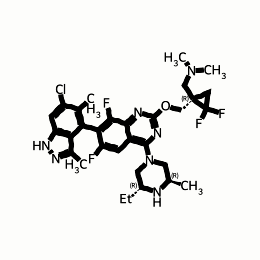 CC[C@@H]1CN(c2nc(OC[C@]3(CN(C)C)CC3(F)F)nc3c(F)c(-c4c(C)c(Cl)cc5[nH]nc(C)c45)c(F)cc23)C[C@@H](C)N1